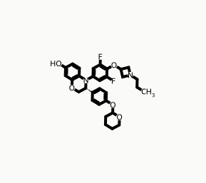 CCCN1CC(Oc2c(F)cc(N3c4ccc(O)cc4OC[C@H]3c3ccc(OC4CCCCO4)cc3)cc2F)C1